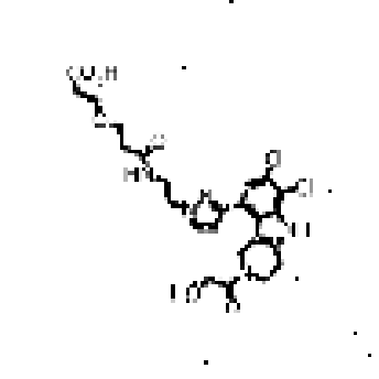 O=C(O)CCOCCC(=O)NCCn1ccc(-c2cc(Cl)c(Cl)c3[nH]c4c(c23)CN(C(=O)CO)CC4)n1